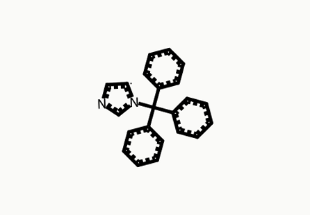 [c]1cncn1C(c1ccccc1)(c1ccccc1)c1ccccc1